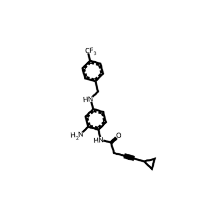 Nc1cc(NCc2ccc(C(F)(F)F)cc2)ccc1NC(=O)CC#CC1CC1